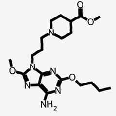 CCCCOc1nc(N)c2nc(OC)n(CCCN3CCC(C(=O)OC)CC3)c2n1